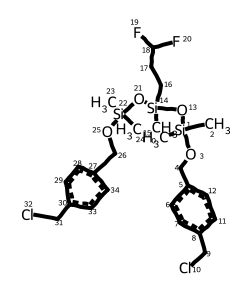 C[Si](C)(OCc1ccc(CCl)cc1)O[Si](C)(CCC(F)F)O[Si](C)(C)OCc1ccc(CCl)cc1